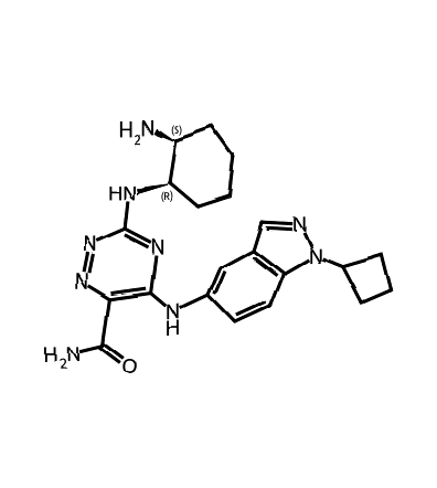 NC(=O)c1nnc(N[C@@H]2CCCC[C@@H]2N)nc1Nc1ccc2c(cnn2C2CCC2)c1